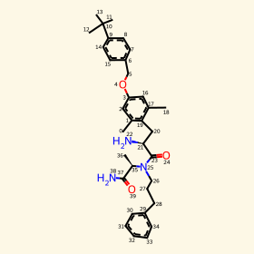 Cc1cc(OCc2ccc(C(C)(C)C)cc2)cc(C)c1C[C@H](N)C(=O)N(CCCc1ccccc1)[C@H](C)C(N)=O